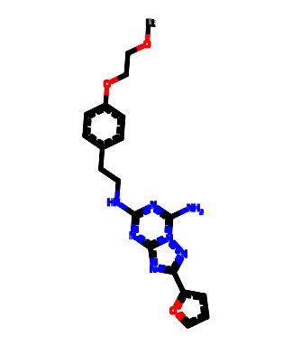 CCOCCOc1ccc(CCNc2nc(N)n3nc(-c4ccco4)nc3n2)cc1